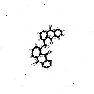 O=C1c2ccccc2C(=O)c2c1cccc2C(=O)c1cccc2c1C(=O)c1ccccc1C2=O